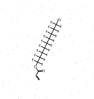 C=CC(=O)OC(F)(F)C(F)(F)C(F)(F)C(F)(F)C(F)(F)C(F)(F)C(F)(F)C(F)(F)C(F)(F)CC